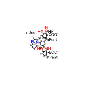 CCCCCCCCCCCCC(=Nc1ccccc1)C(CCCCCC)=Nc1ccccc1.CCCCCc1ccc(O)c(O)c1C(=O)[O-].CCCCCc1ccc(O)c(O)c1C(=O)[O-].[Ni+2]